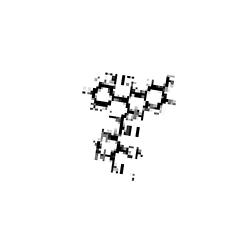 CC(Nc1ncnc(N)c1C#N)c1nc2ccc(F)cc2c(C=O)c1-c1ccccc1